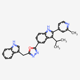 Cc1cc(-c2[nH]c3ccc(-c4nnc(Cc5c[nH]c6ccccc56)o4)cc3c2C(C)C)ccn1